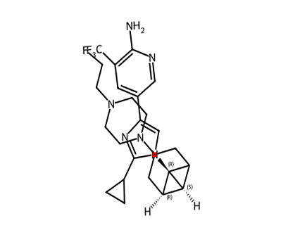 Nc1ncc(-c2cn([C@]34C5CC(N6CCN(CCF)CC6)C[C@@H]3[C@H]54)c(C3CC3)n2)cc1C(F)(F)F